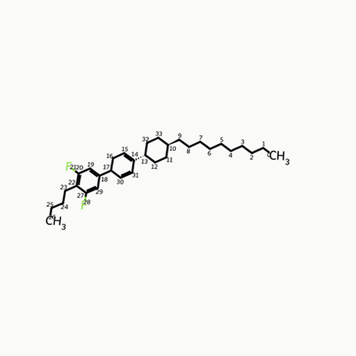 CCCCCCCCCC[C@H]1CC[C@H](C2=CCC(c3cc(F)c(CCCC)c(F)c3)C=C2)CC1